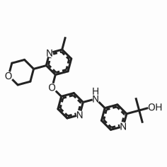 Cc1ccc(Oc2ccnc(Nc3ccnc(C(C)(C)O)c3)c2)c(C2CCOCC2)n1